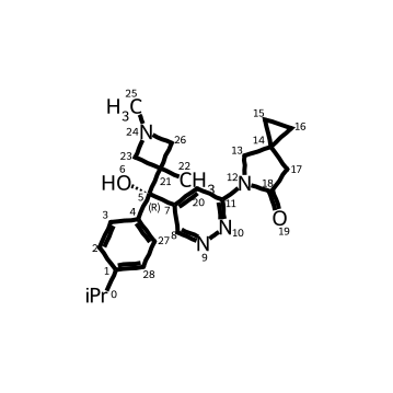 CC(C)c1ccc([C@](O)(c2cnnc(N3CC4(CC4)CC3=O)c2)C2(C)CN(C)C2)cc1